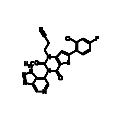 Cn1nnc2cncc(-n3c(=O)c4sc(-c5ccc(F)cc5Cl)cc4n(CCC#N)c3=O)c21